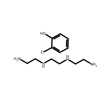 NCCNCCNCCN.Oc1ccccc1Cl